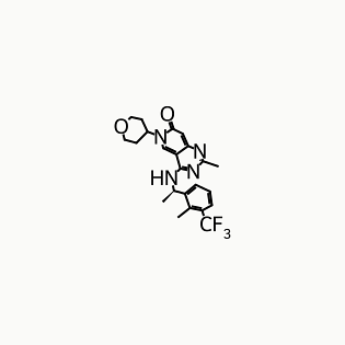 Cc1nc(N[C@H](C)c2cccc(C(F)(F)F)c2C)c2cn(C3CCOCC3)c(=O)cc2n1